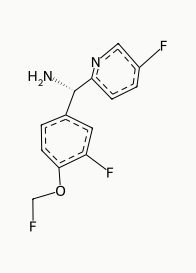 N[C@@H](c1ccc(OCF)c(F)c1)c1ccc(F)cn1